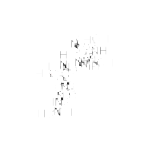 Cc1ncsc1-c1ccc([C@H](CCO)NC(=O)[C@@H]2C[C@@H](O)CN2C(=O)[C@H](C(C)C)n2cc(-c3ccc(COc4c(-c5c(C)c(F)cc6[nH]ncc56)c(C5CC5)cc5c(OC6CN(C(=O)NCCN(C)C)C6)nc(OC6CCOCC6)nc45)cc3)nn2)cc1